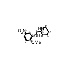 COc1ccc([N+](=O)[O-])cc1NCC1CCCCN1